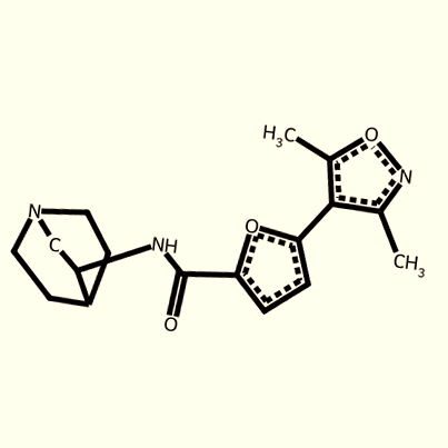 Cc1noc(C)c1-c1ccc(C(=O)NC2CN3CCC2CC3)o1